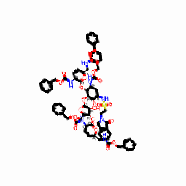 O=C(NC[C@H]1C=C[C@@H](NC(=O)OCc2ccccc2)[C@@H](O[C@H]2[C@@H](O)[C@H](O[C@@H]3[C@@H](O)[C@H](NS(=O)(=O)CCN4C(=O)c5ccccc5C4=O)C[C@H](NC(=O)OCc4ccccc4)[C@H]3O[C@H]3O[C@H](CNC(=O)OCc4ccccc4)C=C[C@H]3NC(=O)OCc3ccccc3)O[C@@H]2CO)O1)OCc1ccccc1